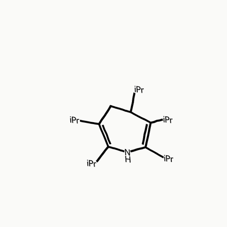 CC(C)C1=C(C(C)C)NC(C(C)C)=C(C(C)C)C(C(C)C)C1